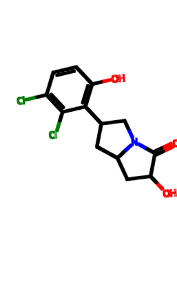 O=C1C(O)CC2CC(c3c(O)ccc(Cl)c3Cl)CN12